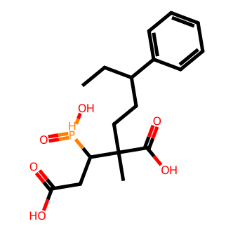 CCC(CCC(C)(C(=O)O)C(CC(=O)O)[PH](=O)O)c1ccccc1